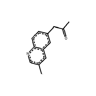 [CH2]c1cnc2ccc(CC(C)=O)cc2c1